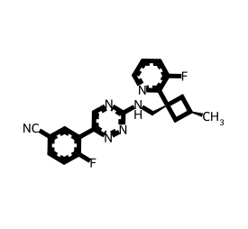 C[C@H]1C[C@](CNc2ncc(-c3cc(C#N)ccc3F)nn2)(c2ncccc2F)C1